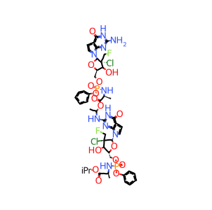 CC(C)OC(=O)[C@H](C)NP(=O)(OC[C@H]1O[C@@H](n2ccc3c(=O)[nH]c(NC(C)OC(=O)[C@H](C)N[P@](=O)(OC[C@H]4O[C@@H](n5ccc6c(=O)[nH]c(N)nc65)[C@@](Cl)(CF)C4O)Oc4ccccc4)nc32)[C@@](Cl)(CF)C1O)Oc1ccccc1